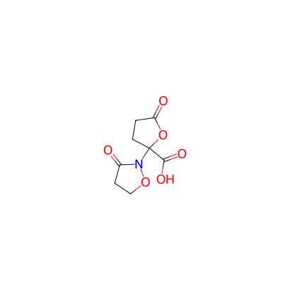 O=C1CCC(C(=O)O)(N2OCCC2=O)O1